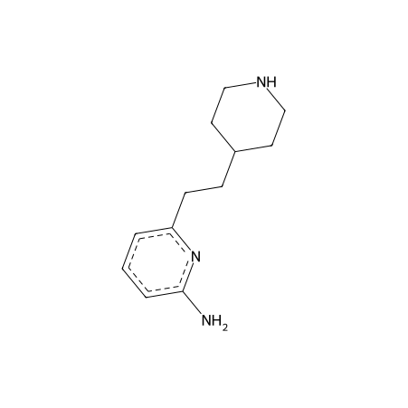 Nc1cccc(CCC2CCNCC2)n1